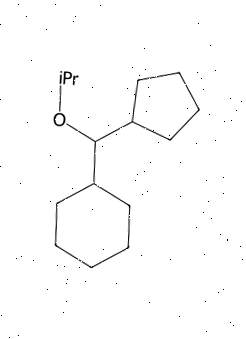 CC(C)OC(C1CCCCC1)C1CCCC1